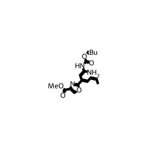 C\C=C/C=C(\C=C(/N)NC(=O)OC(C)(C)C)c1nc(C(=O)OC)co1